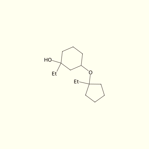 CCC1(O)CCCC(OC2(CC)CCCC2)C1